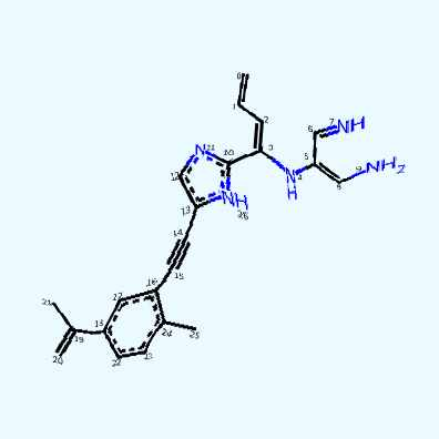 C=C/C=C(/N/C(C=N)=C/N)c1ncc(C#Cc2cc(C(=C)C)ccc2C)[nH]1